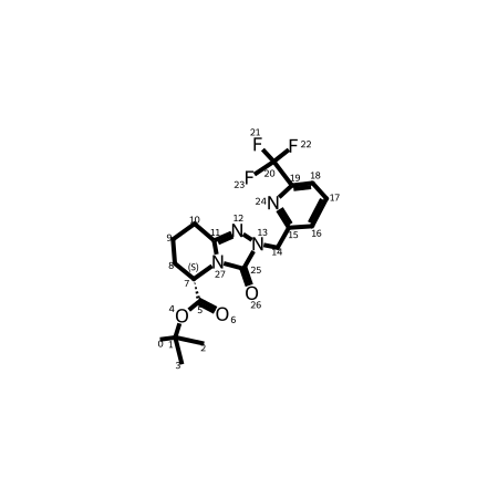 CC(C)(C)OC(=O)[C@@H]1CCCc2nn(Cc3cccc(C(F)(F)F)n3)c(=O)n21